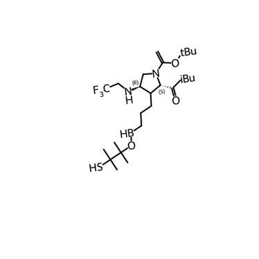 C=C(OC(C)(C)C)N1C[C@H](NCC(F)(F)F)C(CCCBOC(C)(C)C(C)(C)S)[C@H]1C(=O)C(C)CC